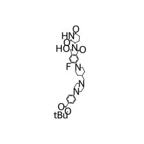 CC(C)(C)OC(=O)c1ccc(N2CCN(CC3CCN(c4cc5c(cc4F)C(O)N(C4CCC(=O)NC4=O)C5=O)CC3)CC2)cc1